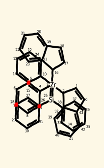 C1=C[CH]([Zr]([c]2ccccc2)([c]2ccccc2)([CH]2C=Cc3ccccc32)=[Si](c2ccccc2)c2ccccc2)c2ccccc21